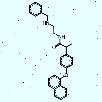 CC(C(=O)NCCNCc1ccccc1)c1ccc(Oc2cccc3ccccc23)cc1